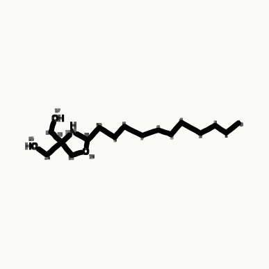 CCCCCCCCCCCC1NC(CO)(CO)CO1